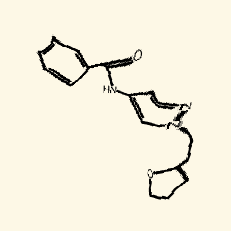 O=C(Nc1cnn(CC2CCCO2)c1)c1ccccc1